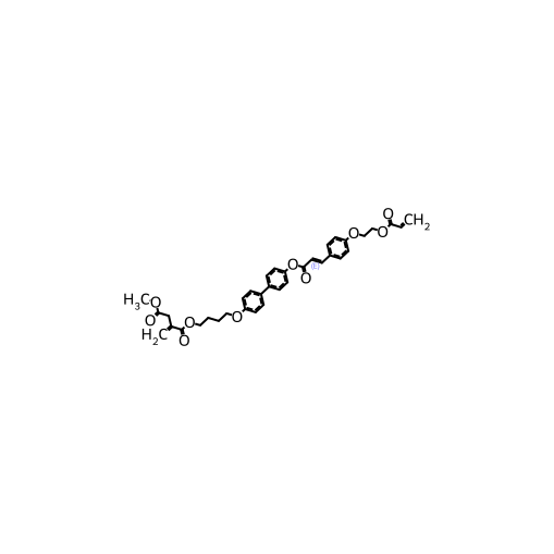 C=CC(=O)OCCOc1ccc(/C=C/C(=O)Oc2ccc(-c3ccc(OCCCCOC(=O)C(=C)CC(=O)OC)cc3)cc2)cc1